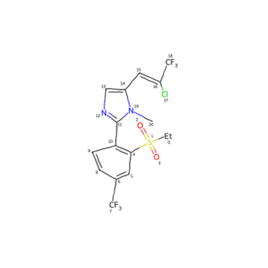 CCS(=O)(=O)c1cc(C(F)(F)F)ccc1-c1ncc(C=C(Cl)C(F)(F)F)n1C